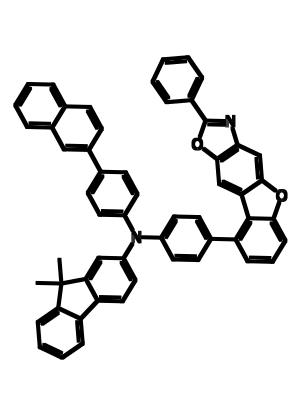 CC1(C)c2ccccc2-c2ccc(N(c3ccc(-c4ccc5ccccc5c4)cc3)c3ccc(-c4cccc5oc6cc7nc(-c8ccccc8)oc7cc6c45)cc3)cc21